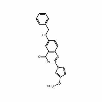 O=C(O)Oc1cnn(-c2nc3ccc(NCc4ccccc4)cc3c(=O)[nH]2)c1